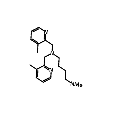 CNCCCCN(Cc1ncccc1C)Cc1ncccc1C